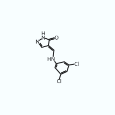 O=C1NN=CC1=CNc1cc(Cl)cc(Cl)c1